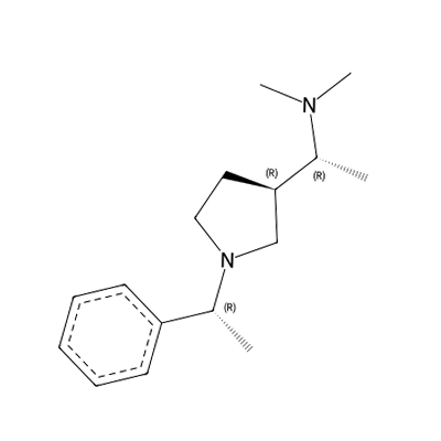 C[C@H]([C@@H]1CCN([C@H](C)c2ccccc2)C1)N(C)C